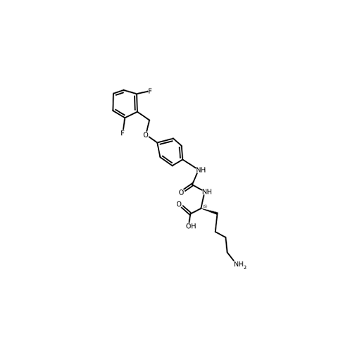 NCCCC[C@H](NC(=O)Nc1ccc(OCc2c(F)cccc2F)cc1)C(=O)O